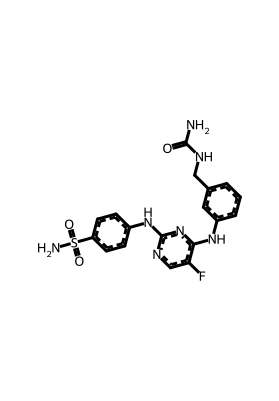 NC(=O)NCc1cccc(Nc2nc(Nc3ccc(S(N)(=O)=O)cc3)ncc2F)c1